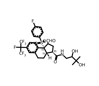 CC(C)(O)C(O)CNC(=O)[C@@H]1CC(C=O)[C@]2(S(=O)(=O)c3ccc(F)cc3)c3ccc(C(F)(C(F)(F)F)C(F)(F)F)cc3CC[C@@H]12